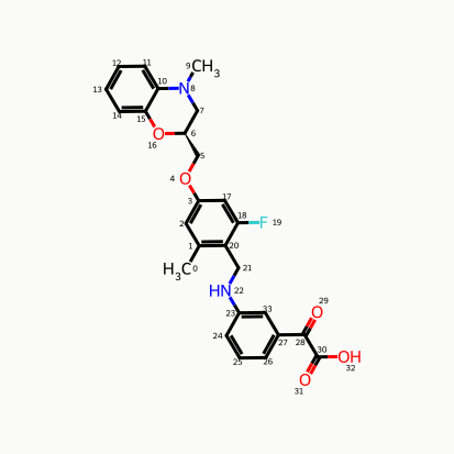 Cc1cc(OC[C@@H]2CN(C)c3ccccc3O2)cc(F)c1CNc1cccc(C(=O)C(=O)O)c1